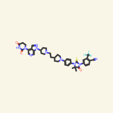 CC1(C)C(=O)N(c2ccc(C#N)c(C(F)(F)F)c2)C(=S)N1c1ccc(N2CCC(CCN3CCC(n4ncc5c(N6CCC(=O)NC6=O)cncc54)CC3)CC2)cc1